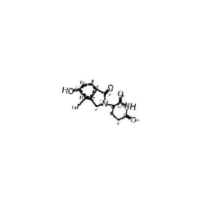 O=C1CCC(N2Cc3c(ccc(O)c3I)C2=O)C(=O)N1